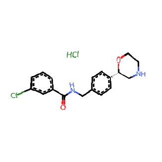 Cl.O=C(NCc1ccc([C@H]2CNCCO2)cc1)c1cccc(Cl)c1